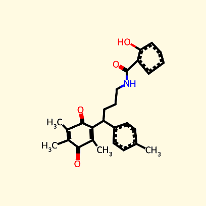 CC1=C(C)C(=O)C(C(CCCNC(=O)c2ccccc2O)c2ccc(C)cc2)=C(C)C1=O